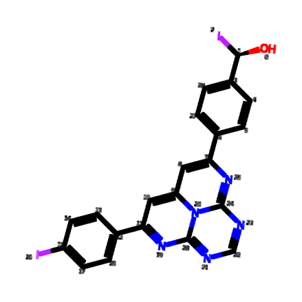 O[C@H](I)c1ccc(C2=CC3=CC(c4ccc(I)cc4)=NC4=NC=NC(=N2)N34)cc1